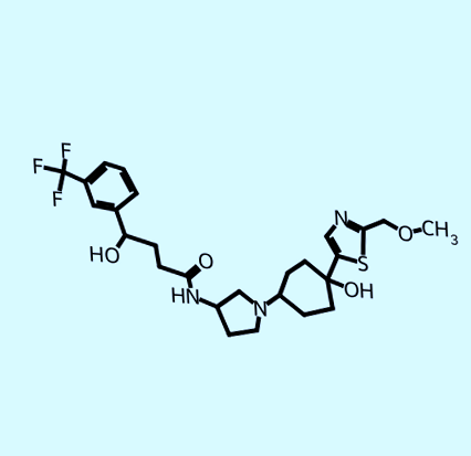 COCc1ncc(C2(O)CCC(N3CCC(NC(=O)CCC(O)c4cccc(C(F)(F)F)c4)C3)CC2)s1